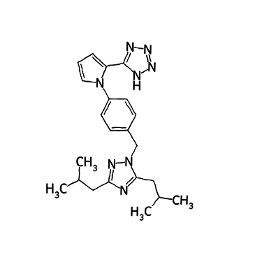 CC(C)Cc1nc(CC(C)C)n(Cc2ccc(-n3cccc3-c3nnn[nH]3)cc2)n1